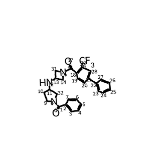 O=C(c1ccccc1)N1CCC(NC2CN(C(=O)c3ccc(-c4ccccc4)cc3C(F)(F)F)C2)C1